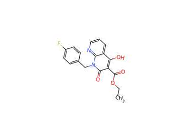 CCOC(=O)c1c(O)c2cccnc2n(Cc2ccc(F)cc2)c1=O